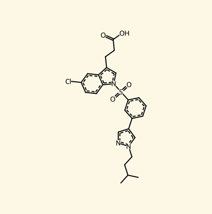 CC(C)CCn1cc(-c2cccc(S(=O)(=O)n3cc(CCC(=O)O)c4cc(Cl)ccc43)c2)cn1